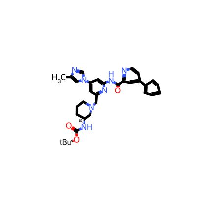 Cc1cn(-c2cc(CN3CCC[C@H](NC(=O)OC(C)(C)C)C3)nc(NC(=O)c3cc(-c4ccccc4)ccn3)c2)cn1